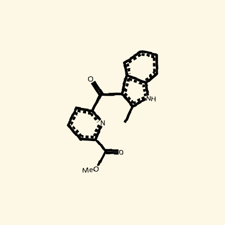 COC(=O)c1cccc(C(=O)c2c(C)[nH]c3ccccc23)n1